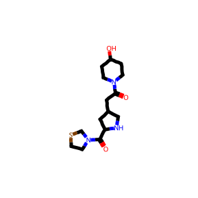 O=C(CC1CNC(C(=O)N2CCSC2)C1)N1CCC(O)CC1